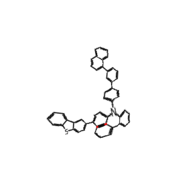 c1ccc(-c2ccccc2N(c2ccc(-c3cccc(-c4cccc5ccccc45)c3)cc2)c2ccc(-c3ccc4sc5ccccc5c4c3)cc2)cc1